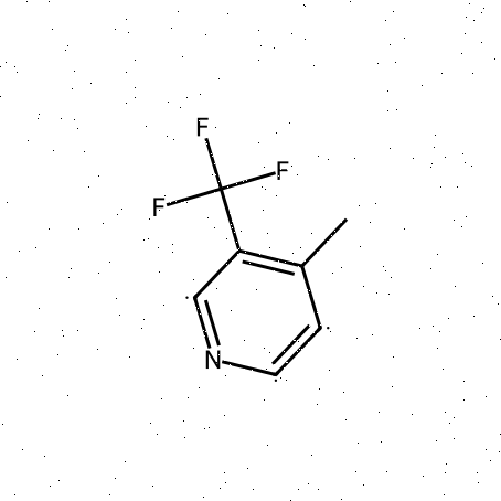 Cc1[c][c]n[c]c1C(F)(F)F